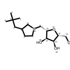 CC(C)(C)CC1CCN(C[C@@H]2O[C@H](CO)[C@@H](O)[C@H]2O)C1